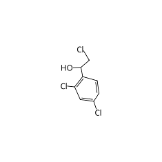 OC(CCl)c1ccc(Cl)cc1Cl